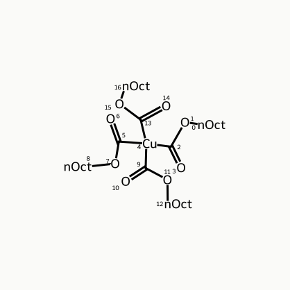 CCCCCCCCO[C](=O)[Cu]([C](=O)OCCCCCCCC)([C](=O)OCCCCCCCC)[C](=O)OCCCCCCCC